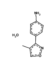 Cc1conc1-c1ccc(N)cc1.O